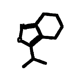 CC(C)c1onc2c1CCCC2